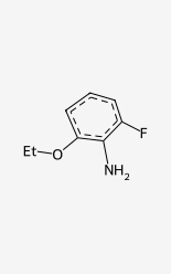 CCOc1cccc(F)c1N